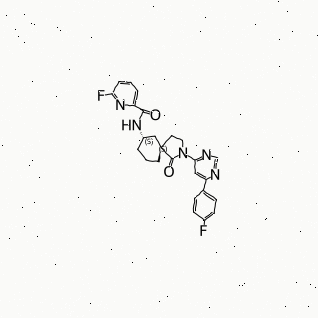 O=C(N[C@H]1CCC[C@]2(CCN(c3cc(-c4ccc(F)cc4)ncn3)C2=O)C1)c1cccc(F)n1